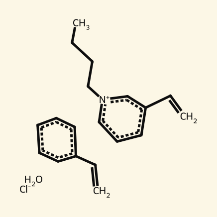 C=Cc1ccc[n+](CCCC)c1.C=Cc1ccccc1.O.[Cl-]